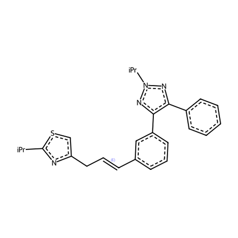 CC(C)c1nc(C/C=C/c2cccc(-c3nn(C(C)C)nc3-c3ccccc3)c2)cs1